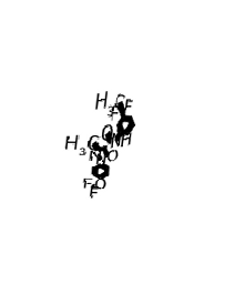 CC1=NN(c2ccc(OC(F)F)cc2)C(=O)[C@H]1C(=O)Nc1cccc(C(C)(F)F)c1